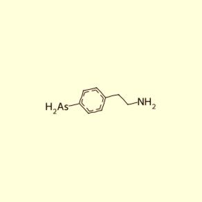 NCCc1ccc([AsH2])cc1